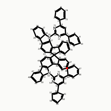 c1ccc(-c2cc(-c3ccccc3)nc(-n3c4ccccc4c4ccc5c(c43)-c3ccccc3C53c4ccccc4-c4c3ccc3c5ccccc5n(-c5nc(-c6ccccc6)cc(-c6ccccc6)n5)c43)n2)cc1